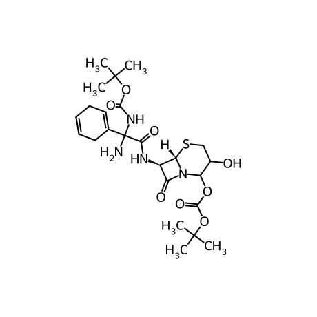 CC(C)(C)OC(=O)NC(N)(C(=O)N[C@@H]1C(=O)N2C(OC(=O)OC(C)(C)C)C(O)CS[C@@H]12)C1=CCC=CC1